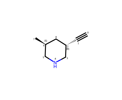 C#C[C@@H]1CNC[C@@H](C)C1